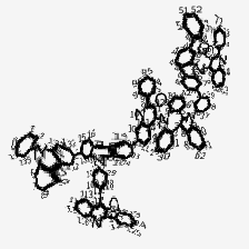 c1ccc(-n2c3ccccc3c3cc(-c4ccc5c6cc(-c7ccc8c(N9c%10ccccc%10-c%10c(n(-c%11cccc(-c%12ccc%13c%14ccc%15c%16ccccc%16oc%15c%14n(-c%14c%15ccccc%15nc%15c%14oc%14ccccc%14%15)c%13c%12)c%11)c%11ccccc%10%11)-c%10ccccc%109)c9oc%10ccccc%10c9nc8c7)ccc6n(-c6ccc(-c7c8ccccc8nc8c7oc7ccccc78)cc6)c5c4)ccc32)cc1